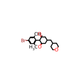 Cc1cc(Br)cc(C)c1C1C(=O)CC(CC2CCOCC2)CC1=O